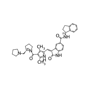 Cc1[nH]c(C=C2C(=O)Nc3ccc(C(=O)N[C@H]4CCc5ccccc54)cc32)c(C)c1C(=O)N1CCC[C@@H]1CN1CCCC1